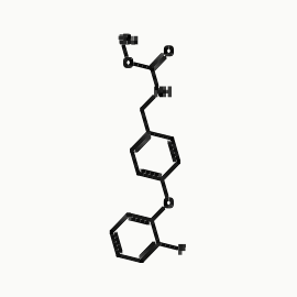 CC(C)(C)OC(=O)NCc1ccc(Oc2ccccc2F)cc1